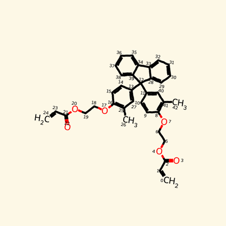 C=CC(=O)OCCOc1ccc(C2(c3ccc(OCCOC(=O)C=C)c(C)c3)c3ccccc3-c3ccccc32)cc1C